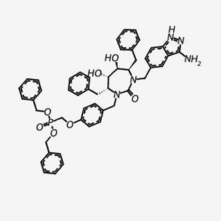 Nc1n[nH]c2ccc(CN3C(=O)N(Cc4ccc(OCP(=O)(OCc5ccccc5)OCc5ccccc5)cc4)[C@H](Cc4ccccc4)[C@H](O)[C@@H](O)[C@H]3Cc3ccccc3)cc12